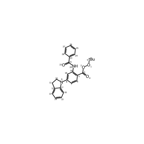 CC(C)(C)OOC(=O)c1ccc(N2CCc3ccccc32)cc1NC(=O)c1ccccc1